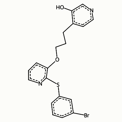 Oc1cnccc1CCCOc1cccnc1Sc1cccc(Br)c1